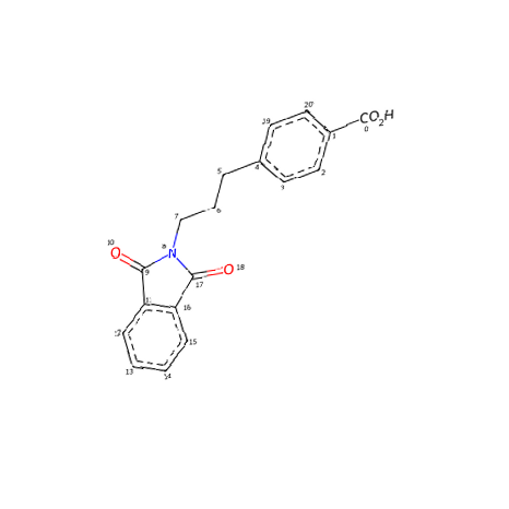 O=C(O)c1ccc(CCCN2C(=O)c3ccccc3C2=O)cc1